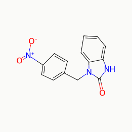 O=c1[nH]c2ccccc2n1Cc1ccc([N+](=O)[O-])cc1